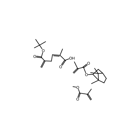 C=C(C)C(=O)OC.C=C(C)C(=O)OC1CC2CCC1(C)C2(C)C.C=C(CC=C(C)C(=O)O)C(=O)OC(C)(C)C